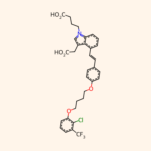 O=C(O)CCCn1cc(CC(=O)O)c2c(C=Cc3ccc(OCCCCOc4cccc(C(F)(F)F)c4Cl)cc3)cccc21